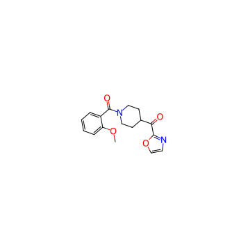 COc1ccccc1C(=O)N1CCC(C(=O)c2ncco2)CC1